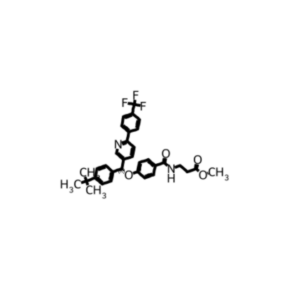 COC(=O)CCNC(=O)c1ccc(O[C@H](c2ccc(C(C)(C)C)cc2)c2ccc(-c3ccc(C(F)(F)F)cc3)nc2)cc1